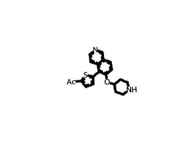 CC(=O)c1ccc(-c2c(OC3CCNCC3)ccc3cnccc23)s1